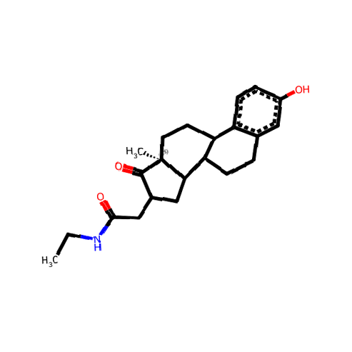 CCNC(=O)CC1CC2C3CCc4cc(O)ccc4C3CC[C@]2(C)C1=O